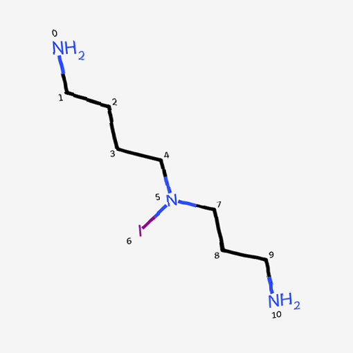 NCCCCN(I)CCCN